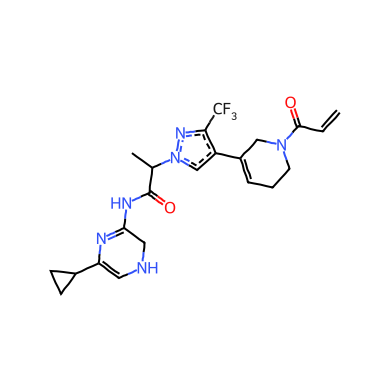 C=CC(=O)N1CCC=C(c2cn(C(C)C(=O)NC3=NC(C4CC4)=CNC3)nc2C(F)(F)F)C1